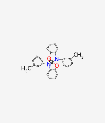 Cc1cccc(N2c3ccccc3O[Si]23Oc2ccccc2N3c2cccc(C)c2)c1